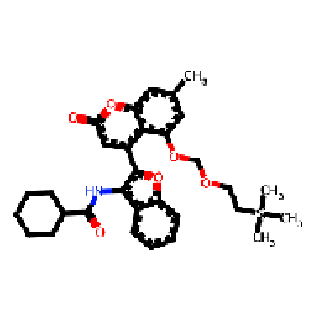 Cc1cc(OCOCC[Si](C)(C)C)c2c(-c3oc4ccccc4c3NC(=O)C3CCCCC3)cc(=O)oc2c1